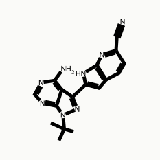 CC(C)(C)n1nc(-c2cc3ccc(C#N)nc3[nH]2)c2c(N)ncnc21